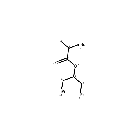 CCCCC(C)C(=O)OC(CC(C)C)CC(C)C